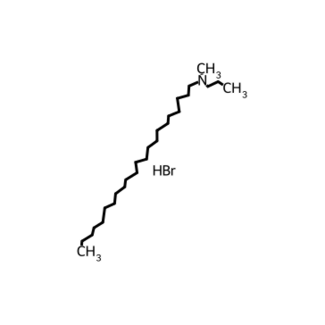 Br.CCCCCCCCCCCCCCCCCCCCCCN(C)CCC